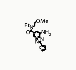 CCN(CCOC)C(=O)c1cc(N)c2nc(-c3cccs3)nn2c1